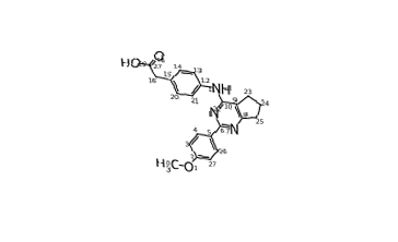 COc1ccc(-c2nc3c(c(Nc4ccc(CC(=O)O)cc4)n2)CCC3)cc1